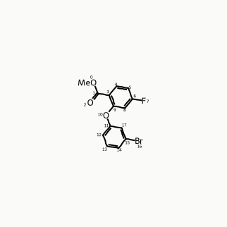 COC(=O)c1ccc(F)cc1Oc1cccc(Br)c1